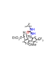 CCOC(=O)C(C)c1ccc(OC)c(-c2ccc(C(F)(F)F)cc2C(CC)NC(=O)NC2CC2)c1